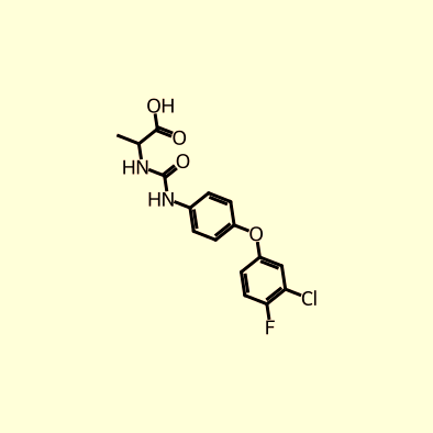 CC(NC(=O)Nc1ccc(Oc2ccc(F)c(Cl)c2)cc1)C(=O)O